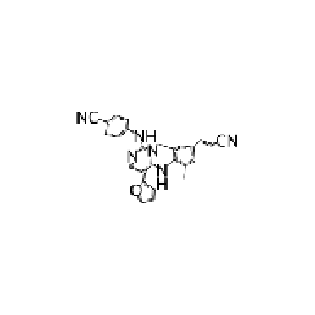 Cc1cc(/C=C/C#N)cc(C)c1Nc1nc(Nc2ccc(C#N)cc2)ncc1-c1ccco1